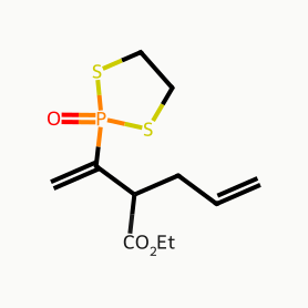 C=CCC(C(=C)P1(=O)SCCS1)C(=O)OCC